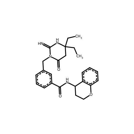 CCC1(CC)CC(=O)N(Cc2cccc(C(=O)NC3CCOc4ccccc43)c2)C(=N)N1